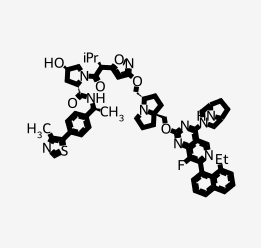 CCc1cccc2cccc(-c3ncc4c(N5CC6CCC(C5)N6)nc(OC[C@@]56CCCN5[C@H](COc5cc([C@@H](C(=O)N7C[C@H](O)C[C@H]7C(=O)N[C@@H](C)c7ccc(-c8scnc8C)cc7)C(C)C)on5)CC6)nc4c3F)c12